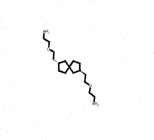 NCCOCC[C@@H]1CCC2(CC[C@H](CCOCCN)C2)C1